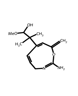 C=C1/C=C(C(C)(C)C(O)OC)\C=C/C/N=C(/N)O1